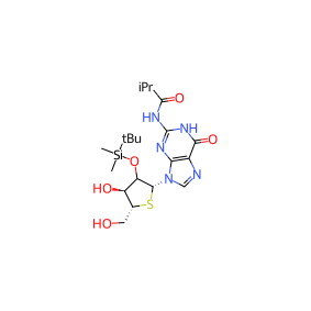 CC(C)C(=O)Nc1nc2c(ncn2[C@@H]2S[C@H](CO)[C@@H](O)C2O[Si](C)(C)C(C)(C)C)c(=O)[nH]1